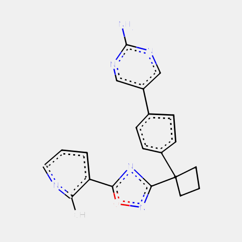 Cc1ncccc1-c1nc(C2(c3ccc(-c4cnc(N)nc4)cc3)CCC2)no1